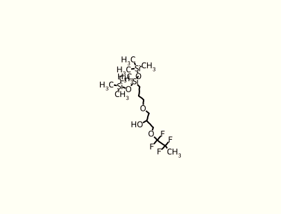 CC(F)(F)C(F)(F)OCC(O)COCCC[Si](C)(O[Si](C)(C)C)O[Si](C)(C)C